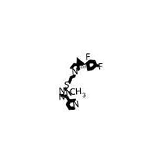 Cn1c(SCCCN2CCC3(C[C@@H]3c3ccc(F)cc3F)C2)nnc1-c1cccnc1